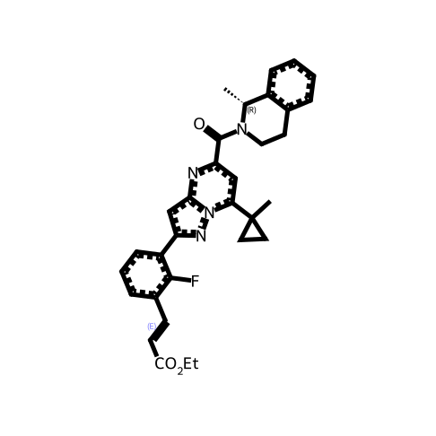 CCOC(=O)/C=C/c1cccc(-c2cc3nc(C(=O)N4CCc5ccccc5[C@H]4C)cc(C4(C)CC4)n3n2)c1F